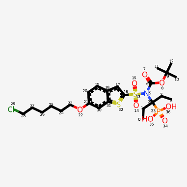 CCC(CC)(N(C(=O)OC(C)(C)C)S(=O)(=O)c1cc2ccc(OCCCCCCCl)cc2s1)P(=O)(O)O